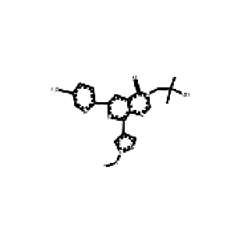 CC(C)(O)Cn1cnc2c(-c3cnn(SF)c3)nc(-c3ccc(C(F)(F)F)cn3)cc2c1=O